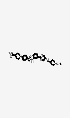 CN1CCC(COc2cnc(-c3cccc(NS(=O)(=O)c4ccc(N5CCC(C(N)=O)CC5)cc4)c3)nc2)CC1